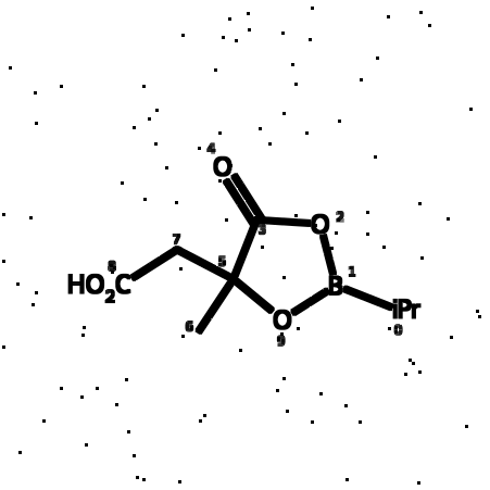 CC(C)B1OC(=O)C(C)(CC(=O)O)O1